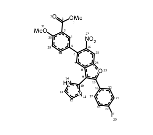 COC(=O)c1cc(-c2cc3c(-c4ncc[nH]4)c(-c4ccc(F)cc4)oc3cc2[N+](=O)[O-])ccc1OC